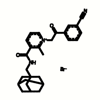 Cc1c(C(=O)NCC23CC4CC(CC(C4)C2)C3)ccc[n+]1CC(=O)c1cccc(C#N)c1.[Br-]